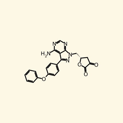 Nc1ncnc2c1c(-c1ccc(Oc3ccccc3)cc1)nn2C[C@@H]1CC(=O)C(=O)O1